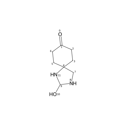 O=C1CCC2(CC1)CNC(O)N2